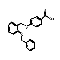 O=C(O)c1ccc(NCc2ccccc2OCc2ccccc2)cc1